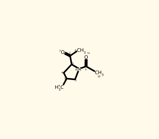 CC(=O)C1CC(C)CN1C(C)=O